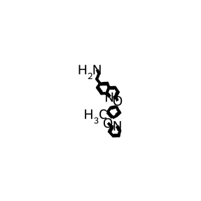 Cc1cc(Oc2ccc3cc(CCN)ccc3n2)ccc1Oc1ccccn1